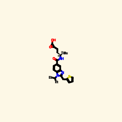 CCC(CC)n1c(Cc2cccs2)nc2cc(C(=O)N[C@H](CCC3OC3O)[C@@H](C)CC)ccc21